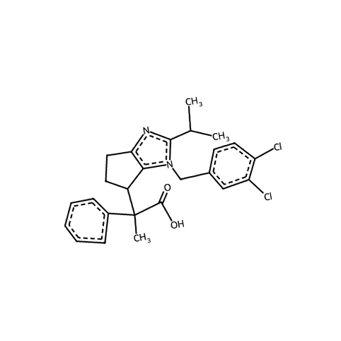 CC(C)c1nc2c(n1Cc1ccc(Cl)c(Cl)c1)C(C(C)(C(=O)O)c1ccccc1)CC2